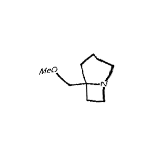 COCC12CCCN1CC2